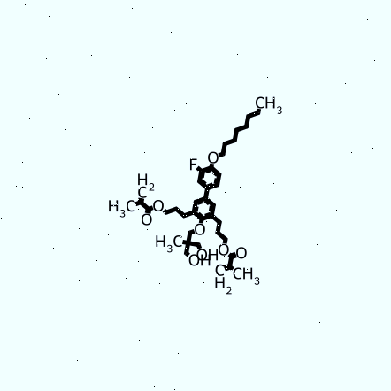 C=C(C)C(=O)OCCCc1cc(-c2ccc(OCCCCCCCC)c(F)c2)cc(CCCOC(=O)C(=C)C)c1OCC(C)(CO)CO